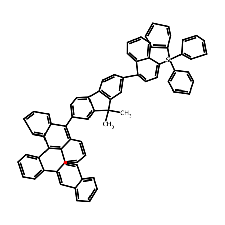 CC1(C)c2cc(-c3ccc([Si](c4ccccc4)(c4ccccc4)c4ccccc4)c4ccccc34)ccc2-c2ccc(-c3c4ccccc4c(-c4ccccc4-c4ccc5ccccc5c4)c4ccccc34)cc21